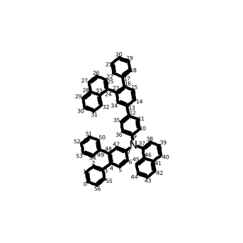 c1ccc(-c2ccc(N(c3ccc(-c4ccc(-c5ccccc5)c(-c5cccc6ccccc56)c4)cc3)c3cccc4ccccc34)cc2-c2ccccc2)cc1